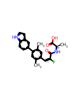 Cc1cc(-c2ccc3[nH]ccc3c2)c(C)cc1/C=C(/F)C(=O)N[C@H](C)C(=O)O